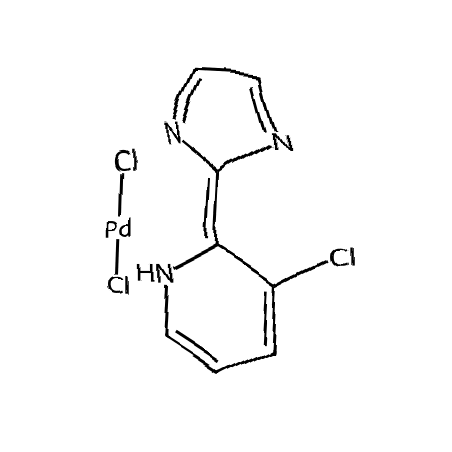 ClC1=CC=CNC1=C1N=CC=N1.[Cl][Pd][Cl]